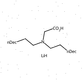 CCCCCCCCCCCCN(CCCCCCCCCCCC)CC(=O)O.[LiH]